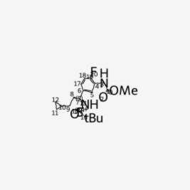 COC(=O)Nc1cc([C@H](CCC2CC2)N[S@@+]([O-])C(C)(C)C)ccc1F